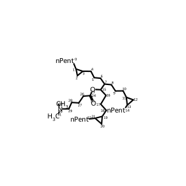 CCCCCC1CC1CCCC(CCCC1CC1CCCCC)C(CCCC1CC1CCCCC)OC(=O)CCCCN(C)C